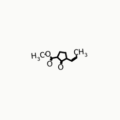 C/C=C\C1CCC(C(=O)OC)C1=O